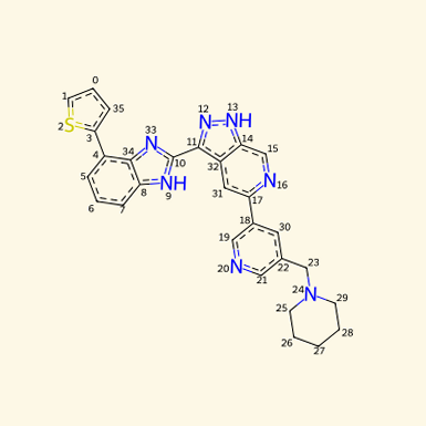 c1csc(-c2cccc3[nH]c(-c4n[nH]c5cnc(-c6cncc(CN7CCCCC7)c6)cc45)nc23)c1